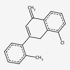 C=C1C=C(c2ccccc2C)Cc2c(Cl)cccc21